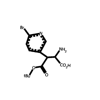 CC(C)(C)OC(=O)C(c1ccc(Br)nc1)C(N)C(=O)O